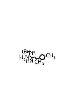 C/C(=C\C(=N)C(N)PC(C)(C)C)c1ccc(C)cc1